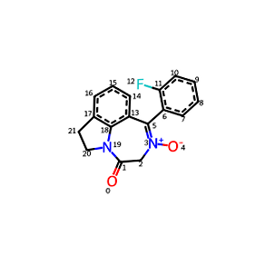 O=C1C[N+]([O-])=C(c2ccccc2F)c2cccc3c2N1CC3